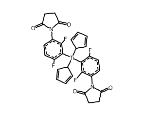 O=C1CCC(=O)N1c1ccc(F)[c]([Ti]([c]2c(F)ccc(N3C(=O)CCC3=O)c2F)([CH]2C=CC=C2)[CH]2C=CC=C2)c1F